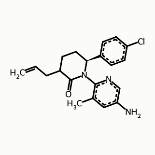 C=CCC1CC[C@@H](c2ccc(Cl)cc2)N(c2ncc(N)cc2C)C1=O